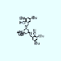 CC(=O)[O-].CC(=O)[O-].CCC(C)c1cc(C=NC2CCCC(N=Cc3cc(C(C)CC)cc(C(C)(C)C)c3O)C2)c(O)c(C(C)(C)C)c1.[Co+2]